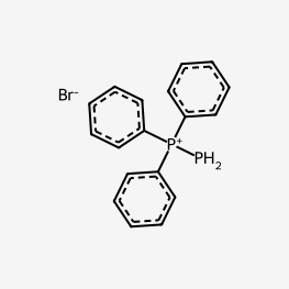 P[P+](c1ccccc1)(c1ccccc1)c1ccccc1.[Br-]